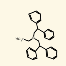 O=C(O)CN(CC(c1ccccc1)c1ccccc1)CC(c1ccccc1)c1ccccc1